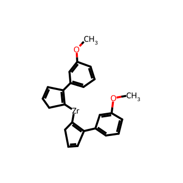 COc1cccc(C2=[C]([Zr][C]3=C(c4cccc(OC)c4)C=CC3)CC=C2)c1